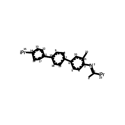 C/C(=N\c1ccc(-c2ccc(-c3ccc(C(C)C)cc3)cc2)cc1C)C(C)C